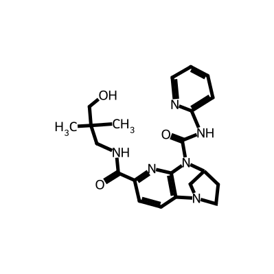 CC(C)(CO)CNC(=O)c1ccc2c(n1)N(C(=O)Nc1ccccn1)C1CCN2C1